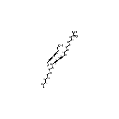 CCC#CC#CCCO.CCCCCCCCCCC#CC#CCCCCCCCCC(=O)O